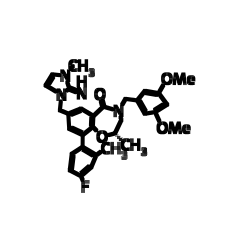 COc1cc(CN2C[C@H](C)Oc3c(cc(Cn4ccn(C)c4=N)cc3-c3ccc(F)cc3C)C2=O)cc(OC)c1